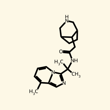 Cc1cccn2c(C(C)(C)NC(=O)CC3C4CCC3CNC4)ncc12